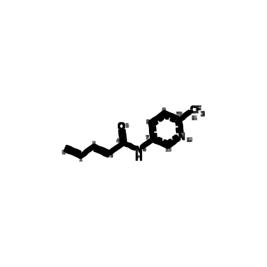 C=CC=CC(=O)Nc1ccc(C(F)(F)F)nc1